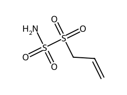 C=CCS(=O)(=O)S(N)(=O)=O